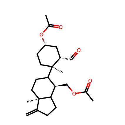 C=C1CCC2[C@H](COC(C)=O)C([C@@]3(C)CC[C@H](OC(C)=O)C[C@@H]3C=O)CC[C@]12C